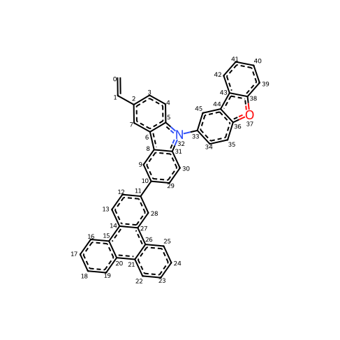 C=Cc1ccc2c(c1)c1cc(-c3ccc4c5ccccc5c5ccccc5c4c3)ccc1n2-c1ccc2oc3ccccc3c2c1